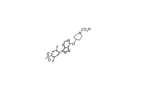 CS(=O)(=O)c1cc(F)c(-n2nnc3c(OC4CCN(C(=O)O)CC4)ncnc32)cc1F